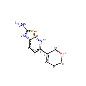 Nc1nc2ccc(C3=CCCOC3)nc2s1